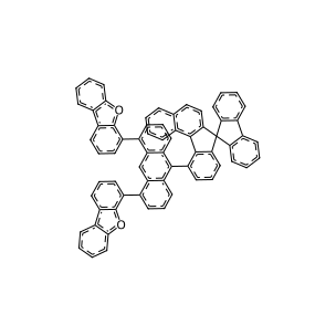 c1ccc2c(c1)-c1ccccc1C21c2cccc(-c3c4cccc(-c5cccc6c5oc5ccccc56)c4cc4c(-c5cccc6c5oc5ccccc56)cccc34)c2-c2c1ccc1ccccc21